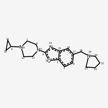 c1cc2oc(N3CCN(C4CC4)CC3)nc2cc1CN1CCCC1